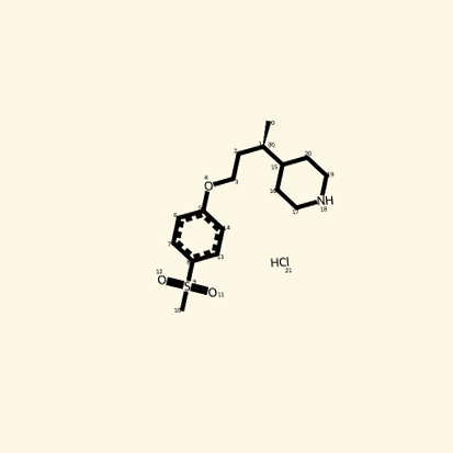 C[C@H](CCOc1ccc(S(C)(=O)=O)cc1)C1CCNCC1.Cl